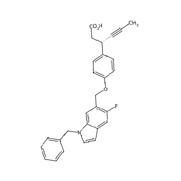 CC#C[C@@H](CC(=O)O)c1ccc(OCc2cc3c(ccn3Cc3ccccc3)cc2F)cc1